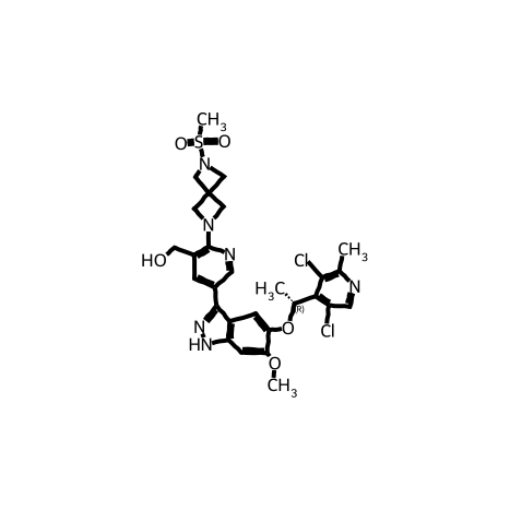 COc1cc2[nH]nc(-c3cnc(N4CC5(C4)CN(S(C)(=O)=O)C5)c(CO)c3)c2cc1O[C@H](C)c1c(Cl)cnc(C)c1Cl